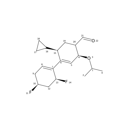 CC(C)O[C@H]1C=C(C2=CC[C@H](F)C[C@@H]2F)[C@@H](C2CC2)CC1C=O